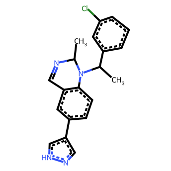 CC1N=Cc2cc(-c3cn[nH]c3)ccc2N1C(C)c1cccc(Cl)c1